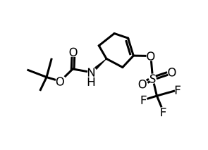 CC(C)(C)OC(=O)N[C@H]1CCC=C(OS(=O)(=O)C(F)(F)F)C1